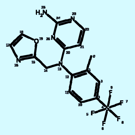 Cc1cc(S(F)(F)(F)(F)F)ccc1N(Cc1ncco1)c1ccnc(N)n1